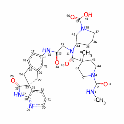 CNC(=O)N1CCC(C)(C(=O)N(CC(=O)Nc2ccc3c(c2)C[C@@]2(C3)C(=O)Nc3ncccc32)C2CCCN(C(=O)O)C2)CC1